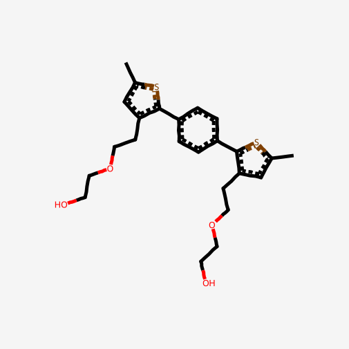 Cc1cc(CCOCCO)c(-c2ccc(-c3sc(C)cc3CCOCCO)cc2)s1